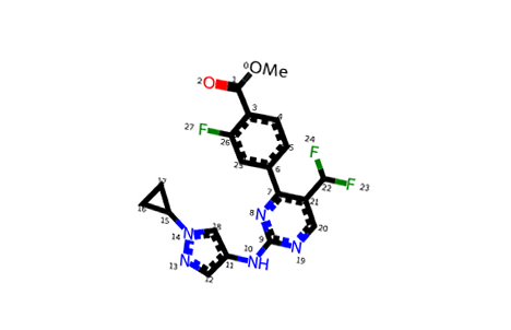 COC(=O)c1ccc(-c2nc(Nc3cnn(C4CC4)c3)ncc2C(F)F)cc1F